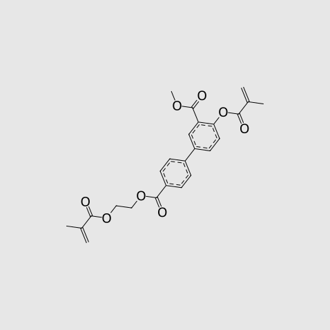 C=C(C)C(=O)OCCOC(=O)c1ccc(-c2ccc(OC(=O)C(=C)C)c(C(=O)OC)c2)cc1